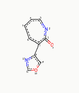 O=c1nccccc1-c1co[c]n1